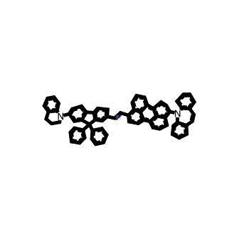 C1=Cc2ccccc2N(c2ccc3c4cccc5c(/C=C/c6ccc7c(c6)C(c6ccccc6)(c6ccccc6)c6cc(N8CCCc9ccccc98)ccc6-7)ccc(c6cccc2c63)c54)c2ccccc21